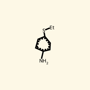 CCSc1ccc(N)cc1